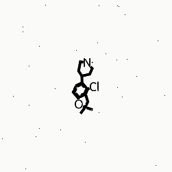 CC1(C)Cc2c(ccc(C3CC[N]CC3)c2Cl)O1